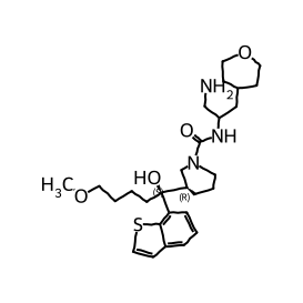 COCCCC[C@@](O)(c1cccc2ccsc12)[C@@H]1CCCN(C(=O)NC(CN)CC2CCOCC2)C1